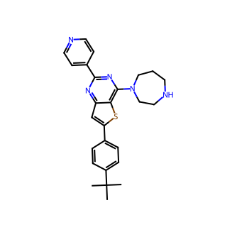 CC(C)(C)c1ccc(-c2cc3nc(-c4ccncc4)nc(N4CCCNCC4)c3s2)cc1